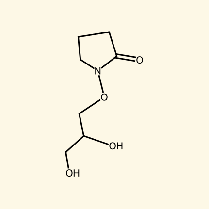 O=C1CCCN1OCC(O)CO